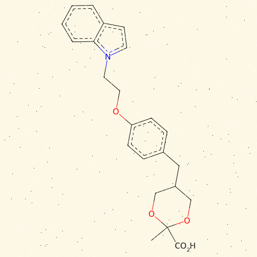 CC1(C(=O)O)OCC(Cc2ccc(OCCn3ccc4ccccc43)cc2)CO1